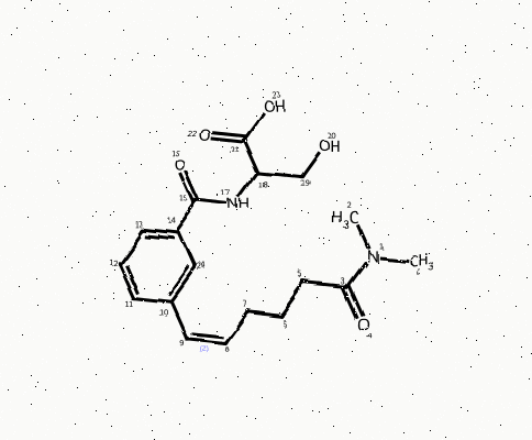 CN(C)C(=O)CCC/C=C\c1cccc(C(=O)NC(CO)C(=O)O)c1